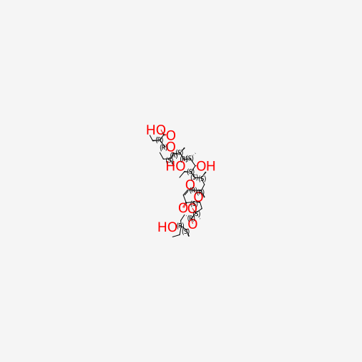 CC[C@@H](C(=O)O)[C@H]1CC[C@H](C)[C@H]([C@@H](C)[C@H](O)[C@H](C)C(O)[C@H](CC)[C@H]2O[C@]3(C=CC(=O)[C@]4(CC[C@@](C)([C@H]5CC[C@](O)(CC)[C@H](C)O5)O4)O3)[C@H](C)C[C@@H]2C)O1